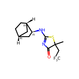 CC1(CC(F)(F)F)SC(N[C@H]2C[C@@H]3CC[C@H]2C3)=NC1=O